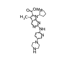 COC(=O)c1c(C)c2cnc(Nc3ccc(N4CCNCC4)cn3)nc2n1C1CCCC1